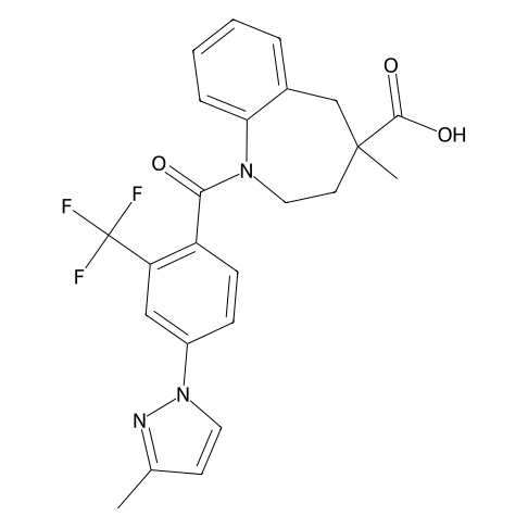 Cc1ccn(-c2ccc(C(=O)N3CCC(C)(C(=O)O)Cc4ccccc43)c(C(F)(F)F)c2)n1